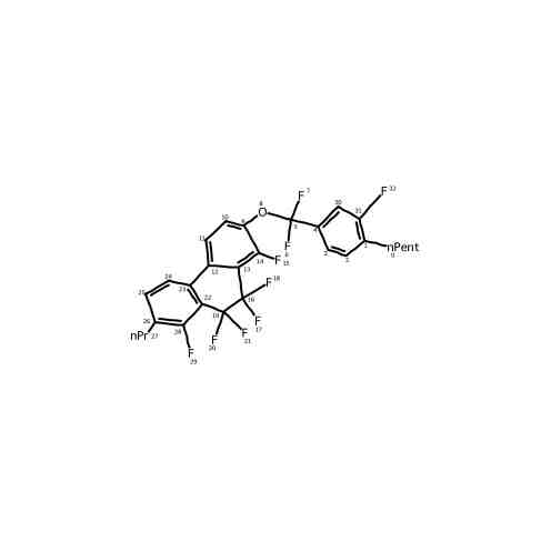 CCCCCc1ccc(C(F)(F)Oc2ccc3c(c2F)C(F)(F)C(F)(F)c2c-3ccc(CCC)c2F)cc1F